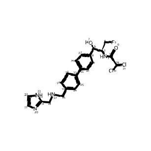 O=C(N[C@H](CF)[C@H](O)c1ccc(-c2ccc(CNCc3ncc[nH]3)cc2)cc1)C(Cl)Cl